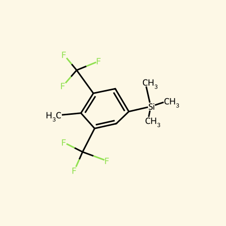 Cc1c(C(F)(F)F)cc([Si](C)(C)C)cc1C(F)(F)F